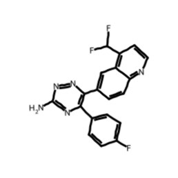 Nc1nnc(-c2ccc3nccc(C(F)F)c3c2)c(-c2ccc(F)cc2)n1